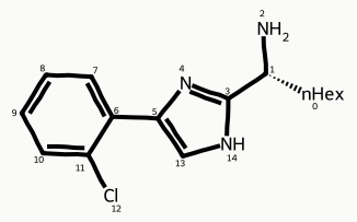 CCCCCC[C@@H](N)c1nc(-c2ccccc2Cl)c[nH]1